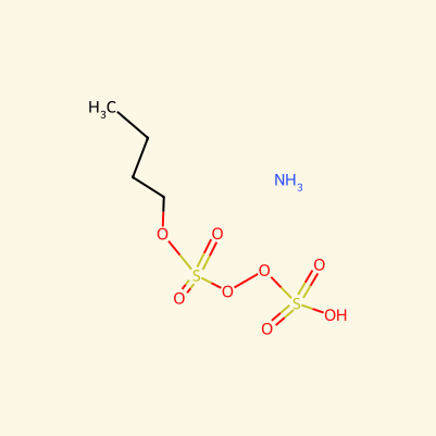 CCCCOS(=O)(=O)OOS(=O)(=O)O.N